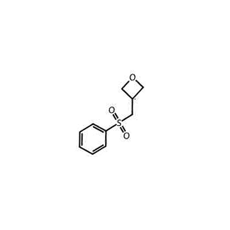 O=S(=O)(C[C]1COC1)c1ccccc1